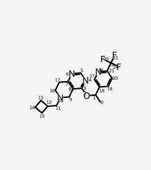 CC(Oc1ncnc2c1CN(CC1CCC1)CC2)c1ccc(C(F)(F)F)nc1